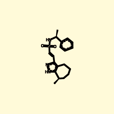 C[C@@H]1CCCCc2c(/C=C/S(=O)(=O)N[C@@H](C)c3ccccc3)n[nH]c21